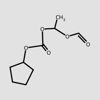 CC(OC=O)OC(=O)OC1CCCC1